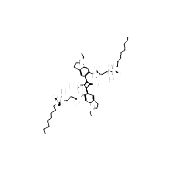 CCCCCCCCS(=O)(=O)NCCC(=O)Nc1cc2c(cc1C1=C(O)/C(=c3/cc4c(cc3NC(=O)CCNS(=O)(=O)CCCCCCCC)=[N+](CC)CC4)C1=O)CCN2CC